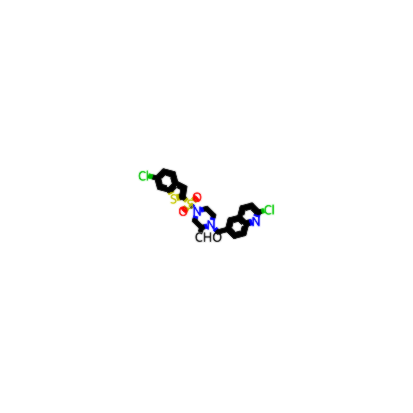 O=CC1CN(S(=O)(=O)c2cc3ccc(Cl)cc3s2)CCN1Cc1ccc2nc(Cl)ccc2c1